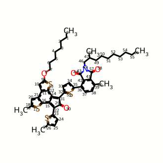 CCCCCCCCOc1cc2c(s1)c1c(c3sc(C)cc32)=C(c2ccc(C)s2)C(=O)C=1c1ccc(-c2ccc(C)c3c2C(=O)N(CC(C)CCCCCCCC)C3=O)s1